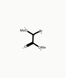 COC(=O)C(Br)OC